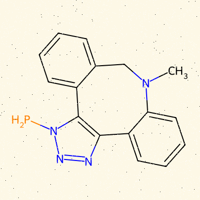 CN1Cc2ccccc2-c2c(nnn2P)-c2ccccc21